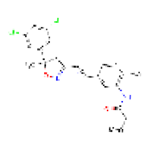 COCC(=O)Nc1cc(/C=C/C2=NOC(c3cc(Cl)cc(Cl)c3)(C(F)(F)F)C2)ccc1C#N